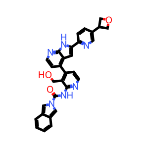 O=C(Nc1nccc(-c2ccnc3[nH]c(-c4ccc(C5COC5)cn4)cc23)c1CO)n1cc2ccccc2c1